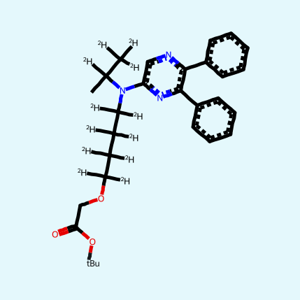 [2H]C([2H])([2H])C([2H])(C)N(c1cnc(-c2ccccc2)c(-c2ccccc2)n1)C([2H])([2H])C([2H])([2H])C([2H])([2H])C([2H])([2H])OCC(=O)OC(C)(C)C